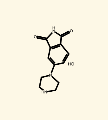 Cl.O=C1NC(=O)c2cc(N3CCNCC3)ccc21